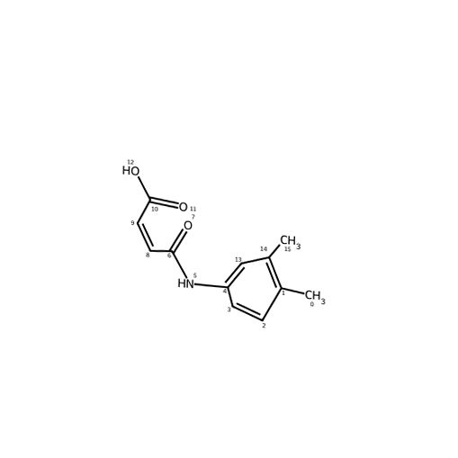 Cc1ccc(NC(=O)/C=C\C(=O)O)cc1C